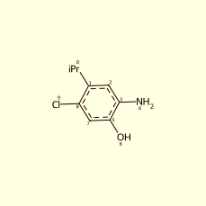 CC(C)c1cc(N)c(O)cc1Cl